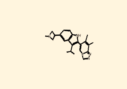 Cc1c(-c2[nH]c3ccc(C4CN(C)C4)cc3c2C(C)C)cn2cnnc2c1C